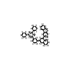 c1ccc(-c2nc(-c3ccccc3)nc(-c3cccc(-c4cc(-c5cc6c(cn5)sc5ccccc56)c5ncccc5c4)c3)n2)cc1